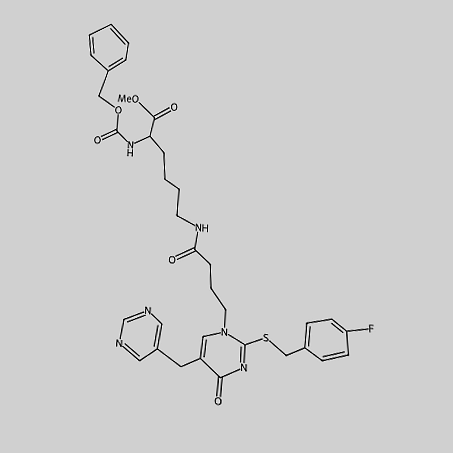 COC(=O)C(CCCCNC(=O)CCCn1cc(Cc2cncnc2)c(=O)nc1SCc1ccc(F)cc1)NC(=O)OCc1ccccc1